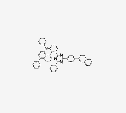 c1ccc(-c2nc(-c3ccc(-c4ccc5ccccc5c4)cc3)nc(-c3cccc4c3-c3cccc5c(-c6ccccc6)ccc(c35)N4c3ccccc3)n2)cc1